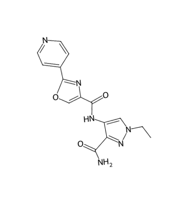 CCn1cc(NC(=O)c2coc(-c3ccncc3)n2)c(C(N)=O)n1